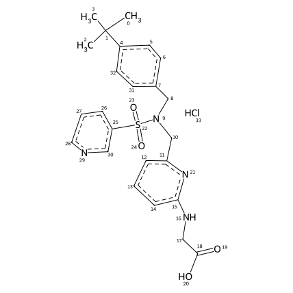 CC(C)(C)c1ccc(CN(Cc2cccc(NCC(=O)O)n2)S(=O)(=O)c2cccnc2)cc1.Cl